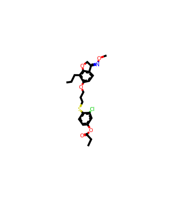 CCCc1c(OCCCSc2ccc(OC(=O)CC)cc2Cl)ccc2c1OCC2=NOC